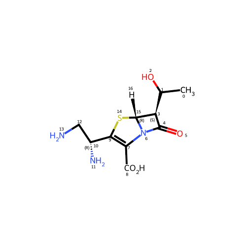 CC(O)[C@H]1C(=O)N2C(C(=O)O)=C([C@H](N)CN)S[C@H]12